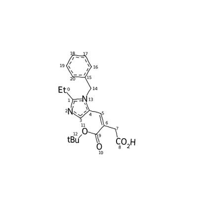 CCc1ncc(C=C(CC(=O)O)C(=O)OC(C)(C)C)n1Cc1ccccc1